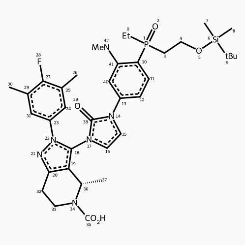 CCP(=O)(CCO[Si](C)(C)C(C)(C)C)c1ccc(-n2ccn(-c3c4c(nn3-c3cc(C)c(F)c(C)c3)CCN(C(=O)O)[C@H]4C)c2=O)cc1NC